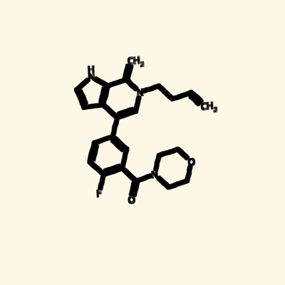 C=CCCN1C=C(c2ccc(F)c(C(=O)N3CCOCC3)c2)c2cc[nH]c2C1=C